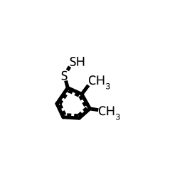 Cc1cccc(SS)c1C